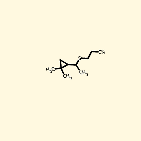 CC(SCCC#N)C1CC1(C)C